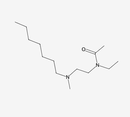 CCCCCCCN(C)CCN(CC)C(C)=O